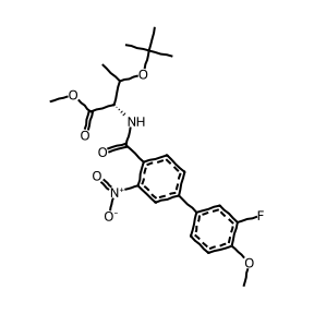 COC(=O)[C@@H](NC(=O)c1ccc(-c2ccc(OC)c(F)c2)cc1[N+](=O)[O-])C(C)OC(C)(C)C